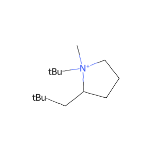 CC(C)(C)CC1CCC[N+]1(C)C(C)(C)C